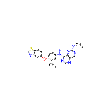 CNc1ncc2ncnc(Nc3ccc(Oc4ccc5scnc5c4)c(C)c3)c2n1